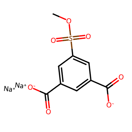 COS(=O)(=O)c1cc(C(=O)[O-])cc(C(=O)[O-])c1.[Na+].[Na+]